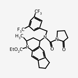 CCOC(=O)N1c2cc3c(cc2C(N(Cc2cc(C(F)(F)F)cc(C(F)(F)F)c2)C(=O)N2CCCC2=O)CC1C)CCC3